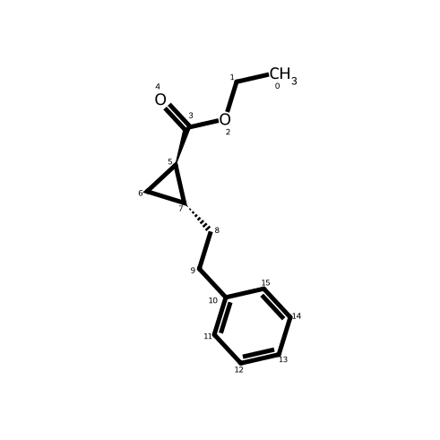 CCOC(=O)[C@@H]1C[C@H]1CCc1ccccc1